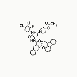 CC(=O)OC1CCN(CC[C@H](NC(=O)[C@@H]2Cc3ccccc3CN2C(=O)OCC2c3ccccc3-c3ccccc32)C(=O)Nc2ccc(Cl)c(Cl)c2F)CC1